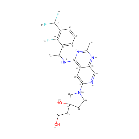 Cc1nc(NC(C)c2cccc(C(F)F)c2F)c2cc(N3CCC(O)(CCO)C3)ncc2n1